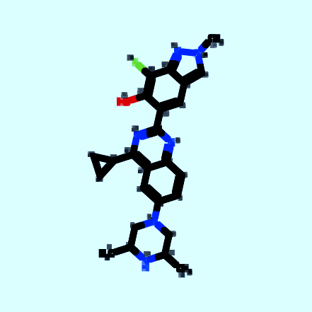 CC1CN(c2ccc3nc(-c4cc5cn(C)nc5c(F)c4O)nc(C4CC4)c3c2)CC(C)N1